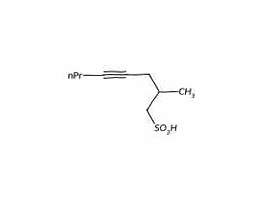 CCCC#CCC(C)CS(=O)(=O)O